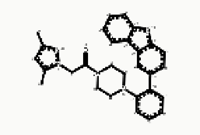 Cc1cc(C)n(CC(=O)N2CCN(c3ccccc3-c3ccc4sc5ccccc5c4c3)CC2)n1